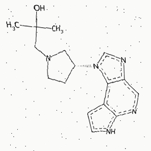 CC(C)(O)CN1CC[C@@H](n2cnc3cnc4[nH]ccc4c32)C1